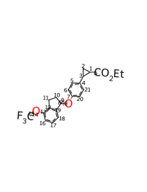 CCOC(=O)C1CC1c1ccc(O[C@@H]2CCc3c(OC(F)(F)F)cccc32)cc1